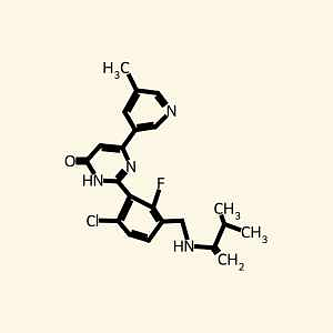 C=C(NCc1ccc(Cl)c(-c2nc(-c3cncc(C)c3)cc(=O)[nH]2)c1F)C(C)C